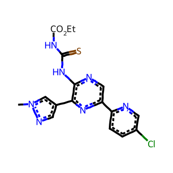 CCOC(=O)NC(=S)Nc1ncc(-c2ccc(Cl)cn2)nc1-c1cnn(C)c1